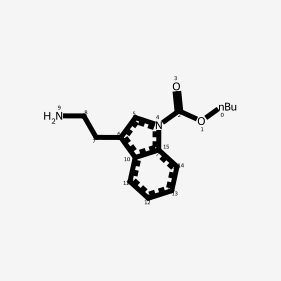 CCCCOC(=O)n1cc(CCN)c2ccccc21